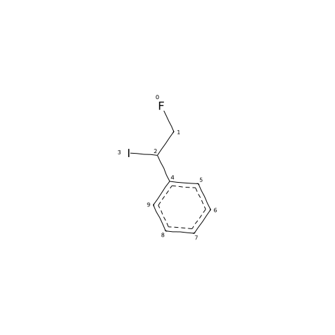 FCC(I)c1ccccc1